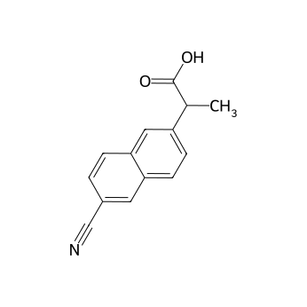 CC(C(=O)O)c1ccc2cc(C#N)ccc2c1